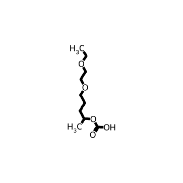 CCOCCOCCCC(C)OC(=O)O